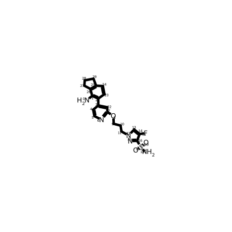 Nc1c(-c2ccnc(OCCCn3cc(F)c(S(N)(=O)=O)n3)c2)ccc2c1CCC2